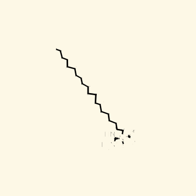 CCCCCCCCCCCCCCCCCCCC[N+](C)(C(=N)N)C(=O)O